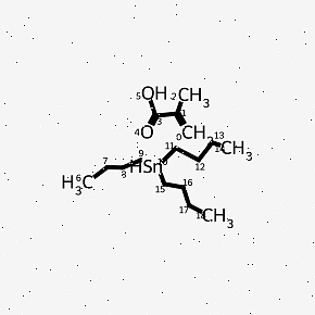 C=C(C)C(=O)O.CCC[CH2][SnH]([CH2]CCC)[CH2]CCC